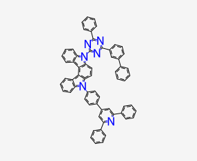 c1ccc(-c2cccc(-c3nc(-c4ccccc4)nc(-n4c5ccccc5c5c6c7ccccc7n(-c7ccc(-c8cc(-c9ccccc9)nc(-c9ccccc9)c8)cc7)c6ccc54)n3)c2)cc1